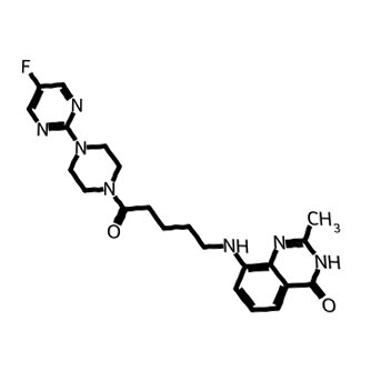 Cc1nc2c(NCCCCC(=O)N3CCN(c4ncc(F)cn4)CC3)cccc2c(=O)[nH]1